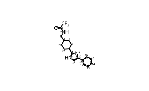 O=C(NCC1CCC(c2nc(-c3ccccc3)c[nH]2)CC1)C(F)(F)F